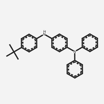 CC(C)(C)c1ccc(Nc2ccc(N(c3ccccc3)c3ccccc3)cc2)cc1